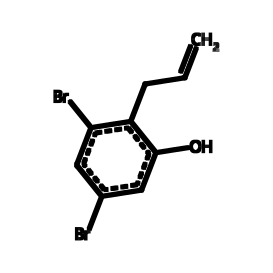 C=CCc1c(O)cc(Br)cc1Br